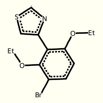 CCOc1ccc(Br)c(OCC)c1-c1cs[c]n1